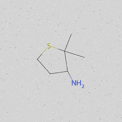 CC1(C)SCCC1N